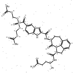 CC(C)[C@H](CCC(N)=O)NC(=O)[C@@H]1Cc2cccc3c2N1C(=O)[C@@H](NC(=O)c1cc2cc(C(=O)P(=O)(OCOC(=O)C(C)(C)C)OCOC(=O)C(C)(C)C)ccc2[nH]1)CC3